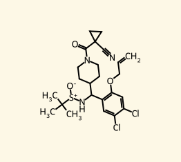 C=CCOc1cc(Cl)c(Cl)cc1C(N[S+]([O-])C(C)(C)C)C1CCN(C(=O)C2(C#N)CC2)CC1